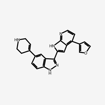 C1=C(c2ccc3[nH]nc(-c4cc5c(-c6ccoc6)ccnc5[nH]4)c3c2)CCNC1